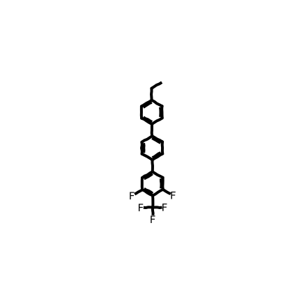 CCc1ccc(-c2ccc(-c3cc(F)c(C(F)(F)F)c(F)c3)cc2)cc1